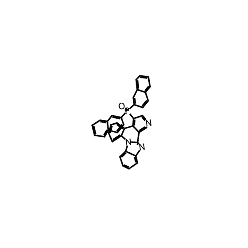 O=P(c1ccc2ccccc2c1)(c1ccc2ccccc2c1)c1cncc2c1c1ccccc1n1c3ccccc3nc21